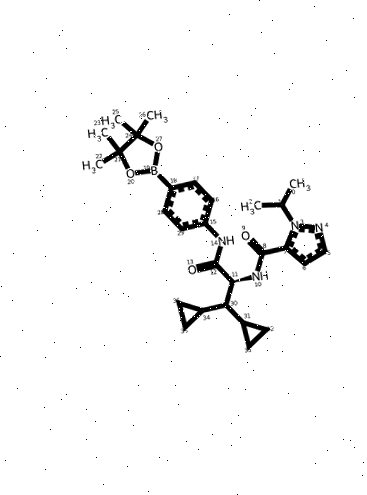 CC(C)n1nccc1C(=O)N[C@H](C(=O)Nc1ccc(B2OC(C)(C)C(C)(C)O2)cc1)C(C1CC1)C1CC1